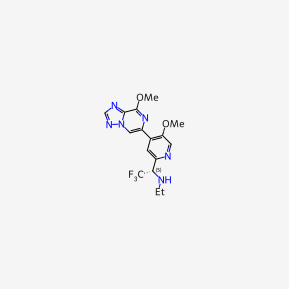 CCN[C@@H](c1cc(-c2cn3ncnc3c(OC)n2)c(OC)cn1)C(F)(F)F